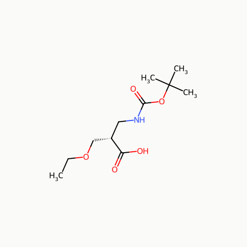 CCOC[C@H](CNC(=O)OC(C)(C)C)C(=O)O